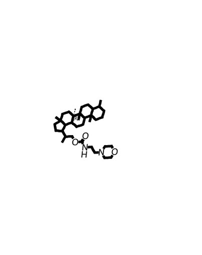 CC(COC(=O)NCCN1CCOCC1)C1CCC2(C)CC[C@]3(C)C(CCC4C5(C)CCCC(C)C5CCC43C)C12